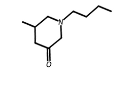 CCCCN1CC(=O)CC(C)C1